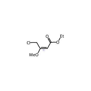 CCOC(=O)/C=C(\CCl)OC